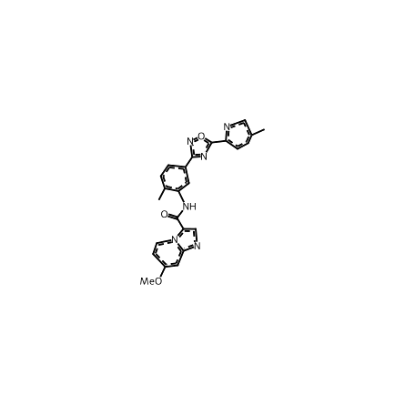 COc1ccn2c(C(=O)Nc3cc(-c4noc(-c5ccc(C)cn5)n4)ccc3C)cnc2c1